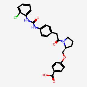 O=C(Nc1ccc(CC(=O)N2CCC[C@H]2COc2ccc(C(=O)O)cc2)cc1)Nc1ccccc1Cl